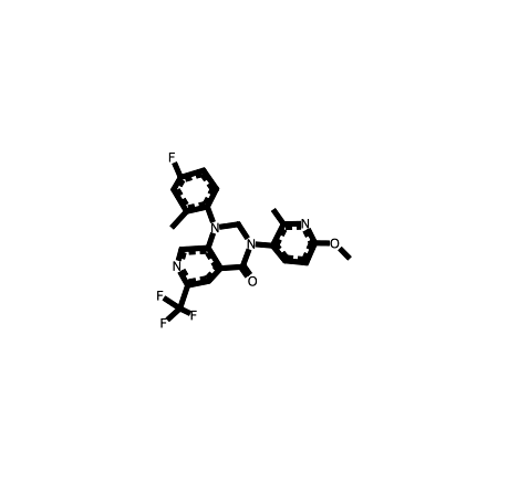 COc1ccc(N2CN(c3ccc(F)cc3C)c3cnc(C(F)(F)F)cc3C2=O)c(C)n1